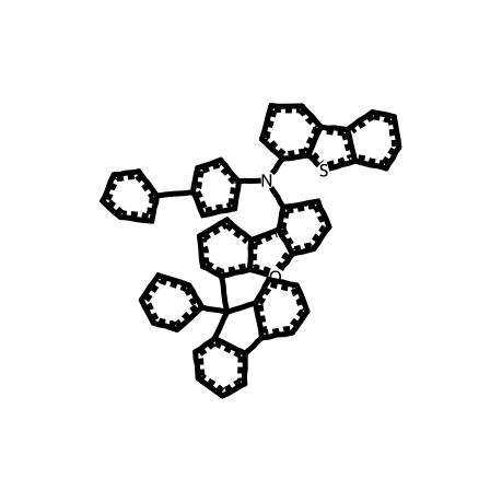 c1ccc(-c2ccc(N(c3cccc4c3sc3ccccc34)c3cccc4oc5c(C6(c7ccccc7)c7ccccc7-c7ccccc76)cccc5c34)cc2)cc1